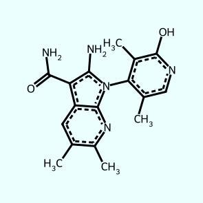 Cc1cc2c(C(N)=O)c(N)n(-c3c(C)cnc(O)c3C)c2nc1C